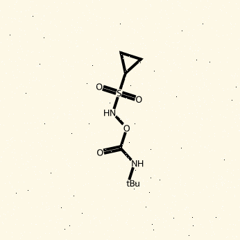 CC(C)(C)NC(=O)ONS(=O)(=O)C1CC1